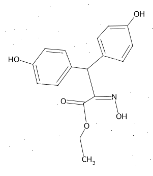 CCOC(=O)C(=NO)C(c1ccc(O)cc1)c1ccc(O)cc1